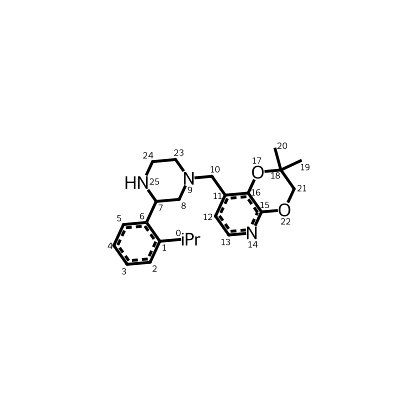 CC(C)c1ccccc1C1CN(Cc2ccnc3c2OC(C)(C)CO3)CCN1